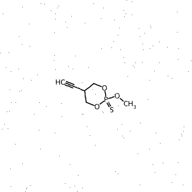 C#CC1COP(=S)(OC)OC1